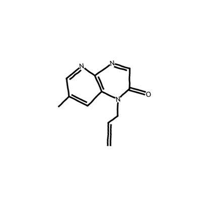 C=CCn1c(=O)cnc2ncc(C)cc21